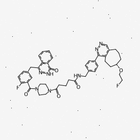 O=C(CCCC(=O)N1CCN(C(=O)c2cc(Cc3n[nH]c(=O)c4ccccc34)ccc2F)CC1)NCc1ccc(-c2nncc3c2CCC(OCCF)CCC3)cc1